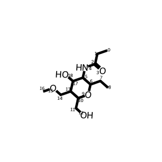 CCC(=O)NC1C(CC)OC(CO)C(COC)C1O